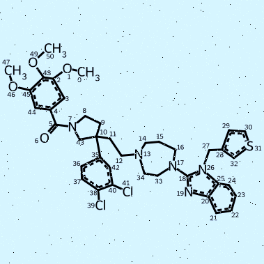 COc1cc(C(=O)N2CCC(CCN3CCCN(c4nc5ccccc5n4Cc4ccsc4)CC3)(c3ccc(Cl)c(Cl)c3)C2)cc(OC)c1OC